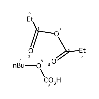 CCC(=O)OC(=O)CC.CCCCOC(=O)O